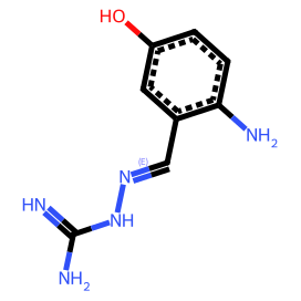 N=C(N)N/N=C/c1cc(O)ccc1N